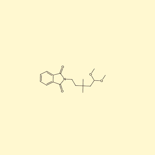 COC(CC(C)(C)CCN1C(=O)c2ccccc2C1=O)OC